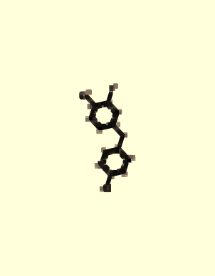 Fc1cc(Cc2cnc(Cl)cn2)ccc1Cl